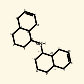 C1=CCC2C(C1)CCCC2NC1CCCC2CC=CCC21